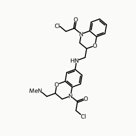 CNCC1CN(C(=O)CCl)c2ccc(NCC3CN(C(=O)CCl)c4ccccc4O3)cc2O1